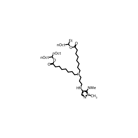 CCCCCCCCC(CC)OC(=O)CCCCCCCN(CCCCCCCC(=O)OC(CCCCCCCC)CCCCCCCC)CCCNc1cnn(C)c1NC